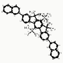 CC1(C)c2cc(-c3ccc4ccccc4c3)ccc2-c2c1c([Si](C)(C)C)c1c(c2[Si](C)(C)C)-c2ccc(-c3ccc4ccccc4c3)cc2C1(C)C